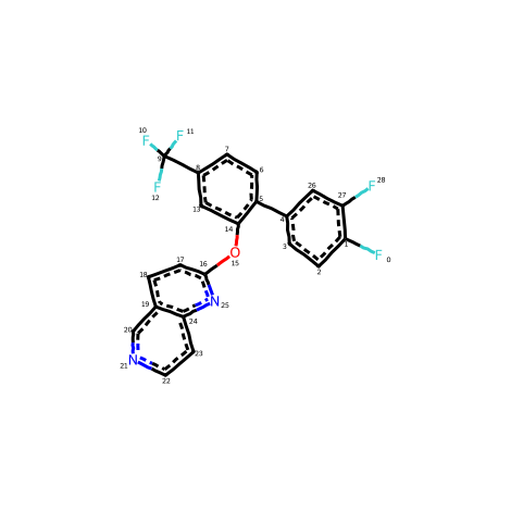 Fc1ccc(-c2ccc(C(F)(F)F)cc2Oc2ccc3cnccc3n2)cc1F